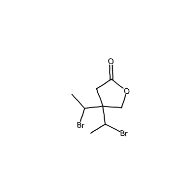 CC(Br)C1(C(C)Br)COC(=O)C1